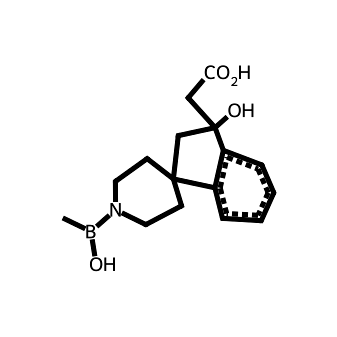 CB(O)N1CCC2(CC1)CC(O)(CC(=O)O)c1ccccc12